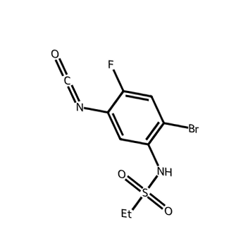 CCS(=O)(=O)Nc1cc(N=C=O)c(F)cc1Br